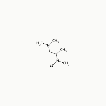 CCN(C)C(C)CN(C)C